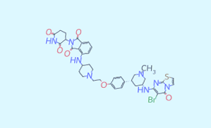 CN1C[C@H](Nc2nc3sccn3c(=O)c2Br)C[C@H](c2ccc(OCCN3CCC(Nc4cccc5c4C(=O)N(C4CCC(=O)NC4=O)C5=O)CC3)cc2)C1